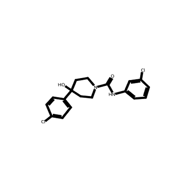 O=C(Nc1cccc(Cl)c1)N1CCC(O)(c2ccc(Cl)cc2)CC1